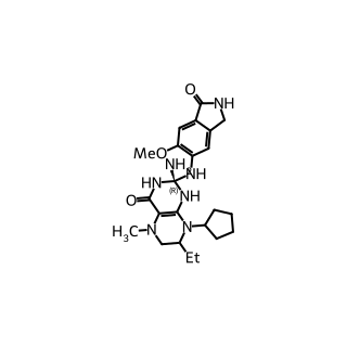 CCC1CN(C)C2=C(N[C@@](N)(Nc3cc4c(cc3OC)C(=O)NC4)NC2=O)N1C1CCCC1